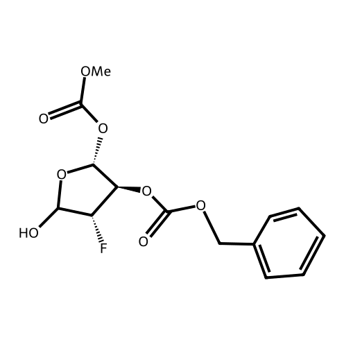 COC(=O)O[C@H]1OC(O)[C@@H](F)[C@@H]1OC(=O)OCc1ccccc1